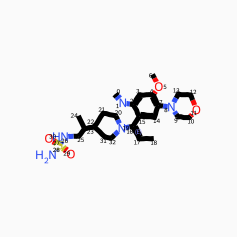 C=Nc1cc(OC)c(N2CCOCC2)cc1/C(=C\C)N1CCC(C(C)CNS(N)(=O)=O)CC1